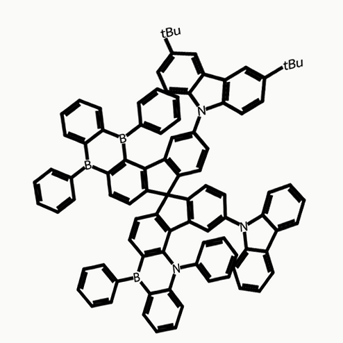 CC(C)(C)c1ccc2c(c1)c1cc(C(C)(C)C)ccc1n2-c1ccc2c(c1)-c1c(ccc3c1B(c1ccccc1)c1ccccc1B3c1ccccc1)C21c2ccc(-n3c4ccccc4c4ccccc43)cc2-c2c1ccc1c2N(c2ccccc2)c2ccccc2B1c1ccccc1